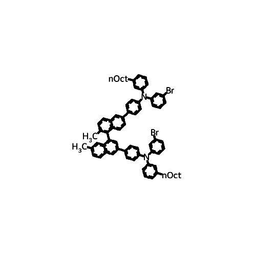 CCCCCCCCc1cccc(N(c2ccc(-c3cc(-c4c(C)ccc5cc(-c6ccc(N(c7cccc(Br)c7)c7cccc(CCCCCCCC)c7)cc6)ccc45)c4cc(C)ccc4c3)cc2)c2cccc(Br)c2)c1